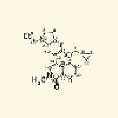 CCSN1CCc2cc(OCC3CC3)c(-c3cn(C)c(=O)c4ccccc34)cc21